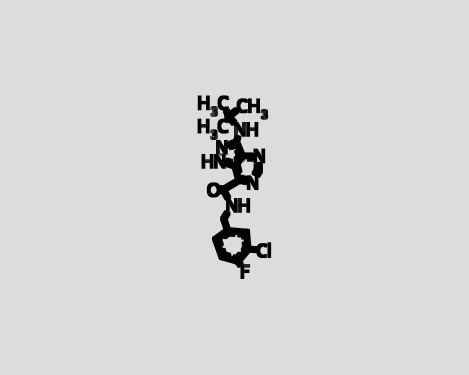 CC(C)(C)Nc1n[nH]c2c(C(=O)NCc3ccc(F)c(Cl)c3)ncnc12